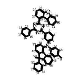 Cc1ccc(N(c2cccc(-c3nc(-c4ccccc4)nc(-c4cccc5oc6ccccc6c45)n3)c2)c2cccc3c2-c2ccccc2C3(C)c2ccccc2)cc1